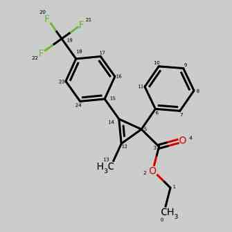 CCOC(=O)C1(c2ccccc2)C(C)=C1c1ccc(C(F)(F)F)cc1